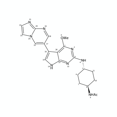 COc1nc(N[C@H]2CC[C@H](NC(C)=O)CC2)nc2[nH]cc(-c3cnc4nccn4c3)c12